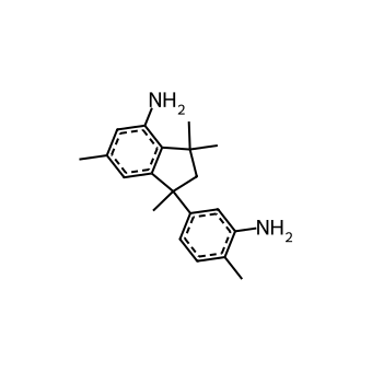 Cc1cc(N)c2c(c1)C(C)(c1ccc(C)c(N)c1)CC2(C)C